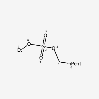 CCCCCCOS(=O)(=O)OCC